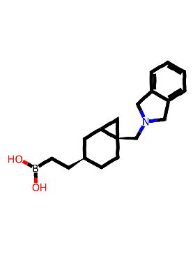 OB(O)CC[C@@H]1CC[C@@]2(CN3Cc4ccccc4C3)CC2C1